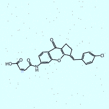 O=C(O)/C=C\C(=O)Nc1ccc2c(=O)c3c(oc2c1)C(=Cc1ccc(Cl)cc1)CC3